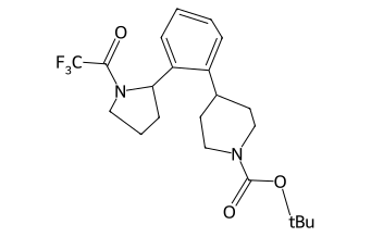 CC(C)(C)OC(=O)N1CCC(c2ccccc2C2CCCN2C(=O)C(F)(F)F)CC1